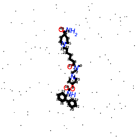 CN(CCN1CCC(OC(=O)Nc2ccccc2-c2ccccc2)CC1)C(=O)CCCCCCN1CCC(C(N)=O)CC1